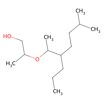 CCCC(CCC(C)C)C(C)OC(C)CO